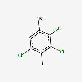 Cc1c(Cl)cc(C(C)(C)C)c(Cl)c1Cl